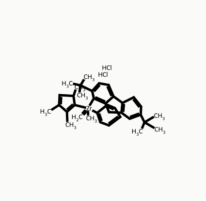 Cl.Cl.[CH2]=[Zr]([CH3])([C]1=C(C)C(C)=CC1C)([c]1ccccc1)[c]1c(C(C)(C)C)ccc2c1Cc1cc(C(C)(C)C)ccc1-2